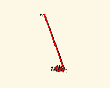 COCCOCCOCCOCCOCCOCCOCCOCCOCCOCCOCCOCCOCCOCCOCCOCCOCCOCCOCCOCCOCCOCCOCCOCCOCCOCCOCCOCCOCCOCCOCCOCCOCCOCC(C)OCC(C)OCC(C)OCC(C)OCC(C)OCC(C)OCC(C)OCC(C)OCC(C)OCC(C)N